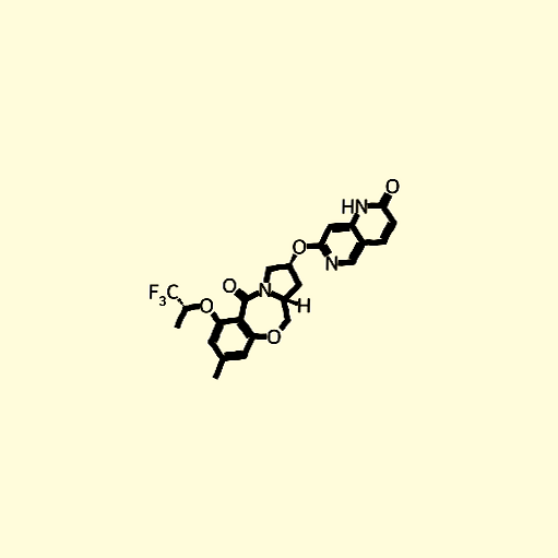 Cc1cc2c(c(O[C@H](C)C(F)(F)F)c1)C(=O)N1C[C@@H](Oc3cc4[nH]c(=O)ccc4cn3)C[C@@H]1CO2